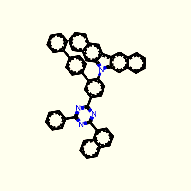 c1ccc(-c2ccc(-c3cc(-c4nc(-c5ccccc5)nc(-c5cccc6ccccc56)n4)ccc3-n3c4cc5ccccc5cc4c4cc5ccccc5cc43)cc2)cc1